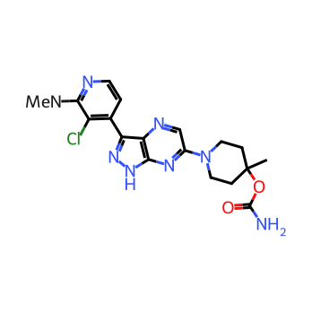 CNc1nccc(-c2n[nH]c3nc(N4CCC(C)(OC(N)=O)CC4)cnc23)c1Cl